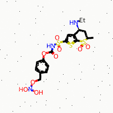 CCN[C@H]1CC(C)S(=O)(=O)c2sc(S(=O)(=O)NC(=O)Oc3ccc(CON(O)O)cc3)cc21